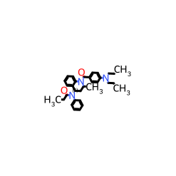 CCCN(CCC)c1ccc(C(=O)N2c3ccccc3[C@@H](N(C(=O)CC)c3ccccc3)CC2C)cc1